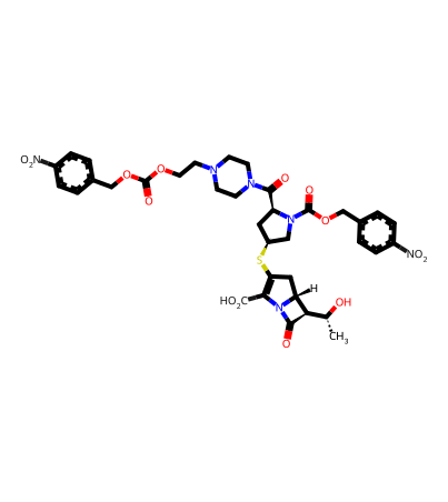 C[C@@H](O)[C@H]1C(=O)N2C(C(=O)O)=C(S[C@H]3C[C@@H](C(=O)N4CCN(CCOC(=O)OCc5ccc([N+](=O)[O-])cc5)CC4)N(C(=O)OCc4ccc([N+](=O)[O-])cc4)C3)C[C@H]12